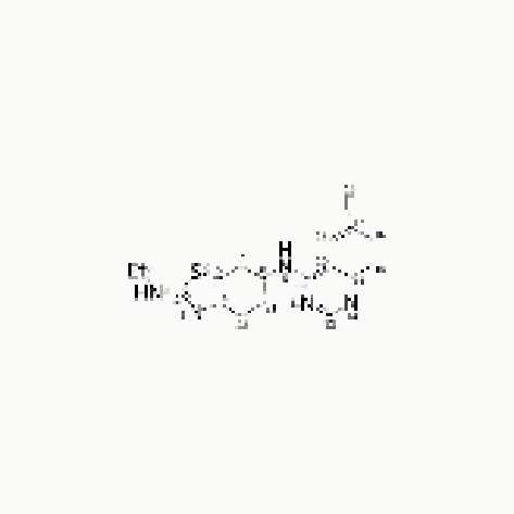 CCNc1nc2c(s1)CC(Nc1ncnc3ccc(F)cc13)CC2